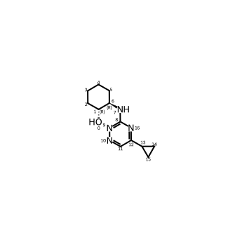 O[C@@H]1CCCC[C@H]1Nc1nncc(C2CC2)n1